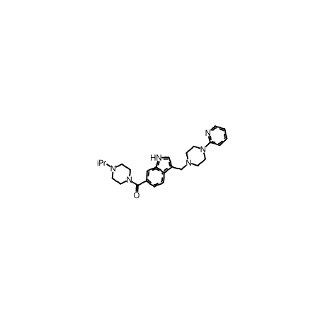 CC(C)N1CCN(C(=O)c2ccc3c(CN4CCN(c5ccccn5)CC4)c[nH]c3c2)CC1